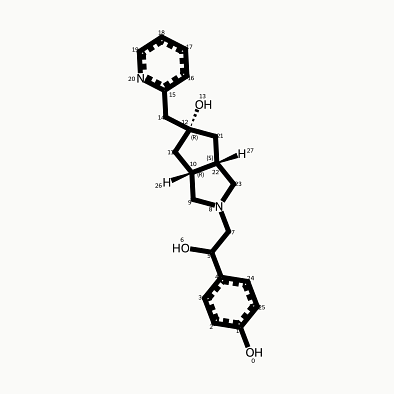 Oc1ccc(C(O)CN2C[C@@H]3C[C@@](O)(Cc4ccccn4)C[C@@H]3C2)cc1